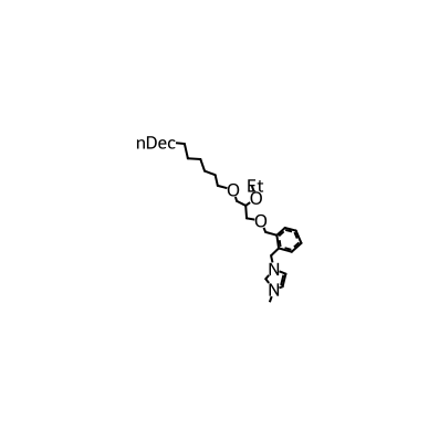 CCCCCCCCCCCCCCCCOCC(COCc1ccccc1CN1C=CN(C)C1)OCC